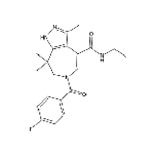 CCNC(=O)C1=CN(C(=O)c2ccc(F)cc2)CC(C)(C)c2[nH]nc(C)c21